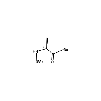 CSN[C@@H](C)C(=O)C(C)(C)C